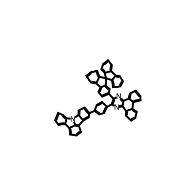 c1ccc2c(c1)-c1ccccc1C21c2ccccc2-c2ccc(-c3nc4c5ccccc5c5ccccc5c4nc3-c3ccc(-c4ccc5c(c4)c4cccc6c7ccccc7n5c64)cc3)cc21